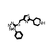 c1ccc(-n2nnnc2SCc2csc(C3CCNCC3)n2)cc1